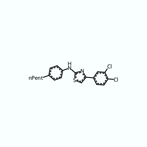 CCCCCc1ccc(Nc2nc(-c3ccc(Cl)c(Cl)c3)cs2)cc1